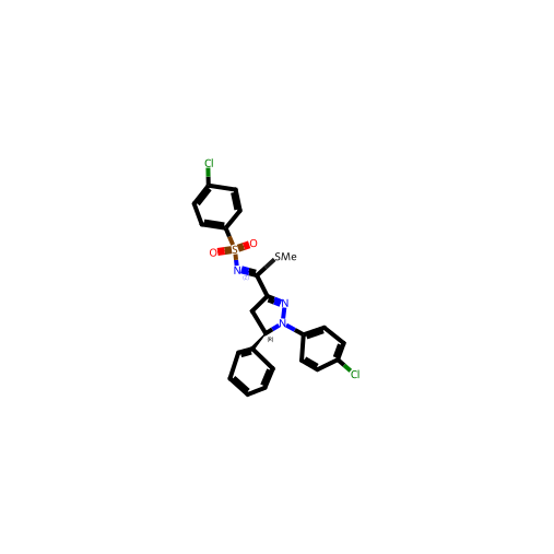 CS/C(=N\S(=O)(=O)c1ccc(Cl)cc1)C1=NN(c2ccc(Cl)cc2)[C@@H](c2ccccc2)C1